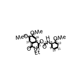 CCn1cc(OC(=O)Nc2ccccc2OC)c2cc(OC)c(OC)cc2c1=O